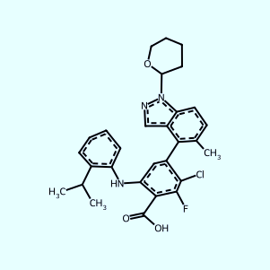 Cc1ccc2c(cnn2C2CCCCO2)c1-c1cc(Nc2ccccc2C(C)C)c(C(=O)O)c(F)c1Cl